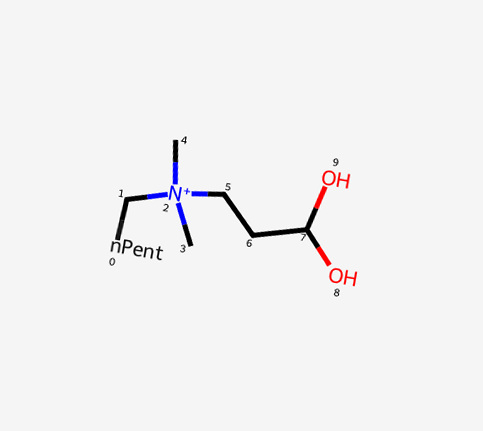 CCCCCC[N+](C)(C)CCC(O)O